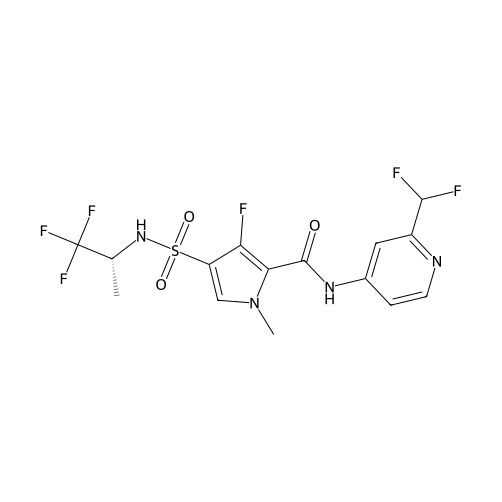 C[C@@H](NS(=O)(=O)c1cn(C)c(C(=O)Nc2ccnc(C(F)F)c2)c1F)C(F)(F)F